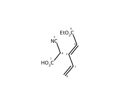 C=CC=CC(=O)OCC.N#CCC(=O)O